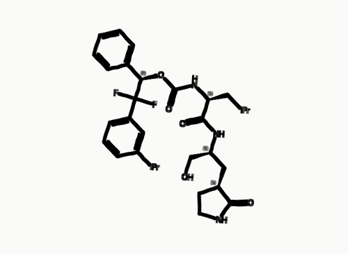 CC(C)C[C@H](NC(=O)O[C@H](c1ccccc1)C(F)(F)c1cccc(C(C)C)c1)C(=O)N[C@H](CO)C[C@@H]1CCNC1=O